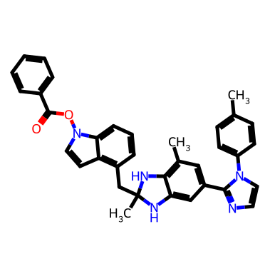 Cc1ccc(-n2ccnc2-c2cc(C)c3c(c2)NC(C)(Cc2cccc4c2ccn4OC(=O)c2ccccc2)N3)cc1